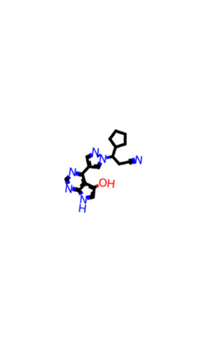 N#CCC(C1CCCC1)n1cc(-c2ncnc3[nH]cc(O)c23)cn1